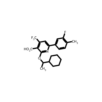 Cc1ccc(-c2cc(C(F)(F)F)c(C(=O)O)c(OC(C)C3CCCCC3)n2)cc1F